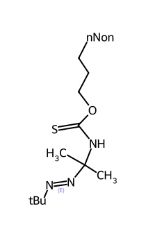 CCCCCCCCCCCCOC(=S)NC(C)(C)/N=N/C(C)(C)C